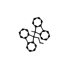 CCCC1(C2(CC(C)C(=O)O)c3ccccc3-c3ccccc32)c2ccccc2-c2ccccc21